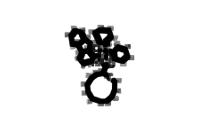 O=C([NH][Hf]([Cl])([Cl])([c]1cccc2c1Cc1ccccc1-2)[SiH](c1ccccc1)c1ccccc1)C1CCCCCCCCCCC1